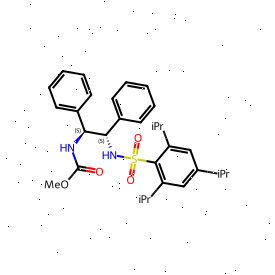 COC(=O)N[C@@H](c1ccccc1)[C@@H](NS(=O)(=O)c1c(C(C)C)cc(C(C)C)cc1C(C)C)c1ccccc1